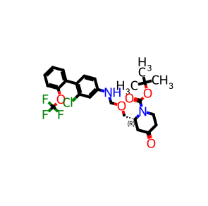 CC(C)(C)OC(=O)N1CCC(=O)C[C@@H]1COCNc1ccc(-c2ccccc2OC(F)(F)F)c(Cl)c1